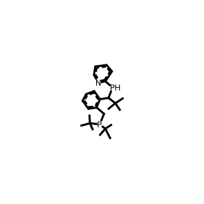 CC(C)(C)C(Pc1ccccn1)c1ccccc1CP(C(C)(C)C)C(C)(C)C